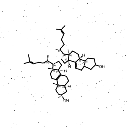 CC(C)=CCC[C@@H](C)[C@H]1CC[C@H]2C3=C(CC[C@]12C)[C@@]1(C)CC[C@H](O)C[C@@H]1CC3.CC(C)=CCC[C@@H](C)[C@H]1CC[C@H]2C3=CCC4CC(O)CC[C@]4(C)[C@H]3CC[C@]12C